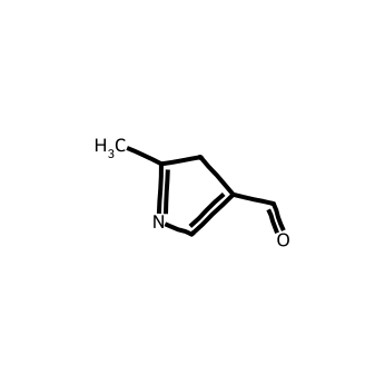 CC1=NC=C(C=O)C1